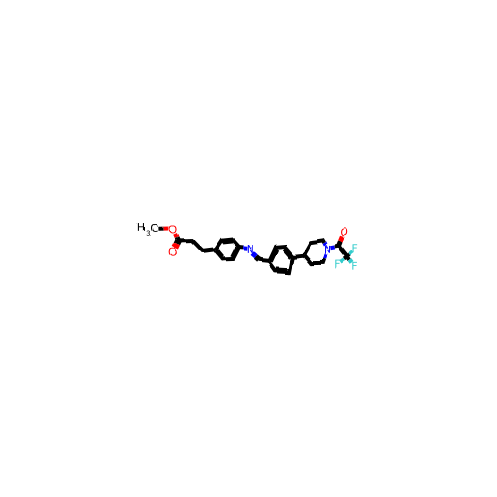 COC(=O)CCc1ccc(N=Cc2ccc(C3CCN(C(=O)C(F)(F)F)CC3)cc2)cc1